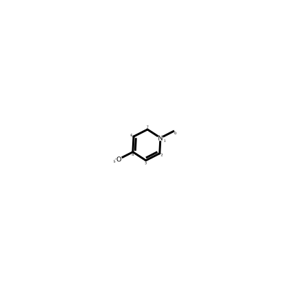 CN1C=CC([O])=CC1